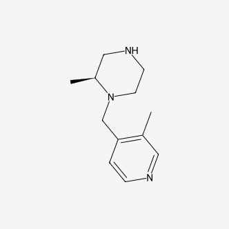 Cc1cnccc1CN1CCNC[C@@H]1C